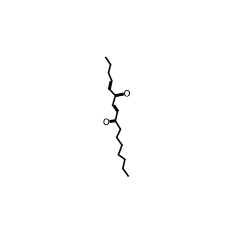 CCCC=CC(=O)C=CC(=O)CCCCCCC